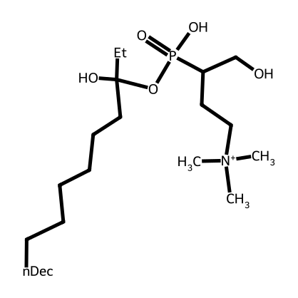 CCCCCCCCCCCCCCCCC(O)(CC)OP(=O)(O)C(CO)CC[N+](C)(C)C